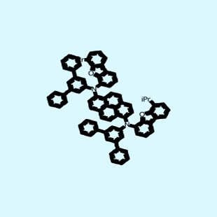 CC(C)c1cccc2c1oc1c(N(c3cc(-c4ccccc4)cc(-c4ccccc4)c3)c3ccc4ccc5c(N(c6cc(-c7ccccc7)cc(-c7ccccc7)c6)c6cccc7c6oc6c(C(C)C)cccc67)ccc6ccc3c4c65)cccc12